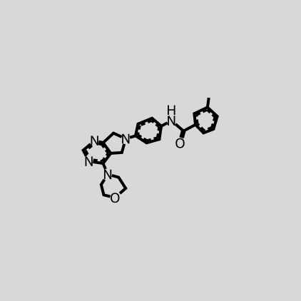 Cc1cccc(C(=O)Nc2ccc(N3Cc4ncnc(N5CCOCC5)c4C3)cc2)c1